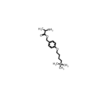 CC(N)C(=O)OCc1ccc(OCCCC[N+](C)(C)C)cc1